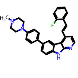 CN1CCN(c2ccc(-c3ccc4[nH]c5nccc(C=Cc6ccccc6F)c5c4c3)cc2)CC1